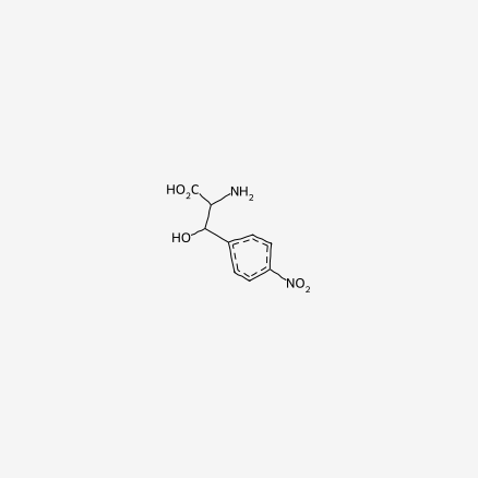 NC(C(=O)O)C(O)c1ccc([N+](=O)[O-])cc1